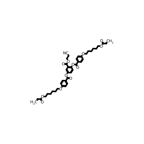 C=CC(=O)OCCCCCCOc1ccc(C(=O)Oc2ccc(OC(=O)c3ccc(OCCCCCCOC(=O)C=C)cc3)c(C(=O)OCCC#N)c2)cc1